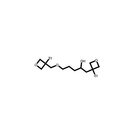 CCC1(COCCCC(O)CC2(CC)COC2)COC1